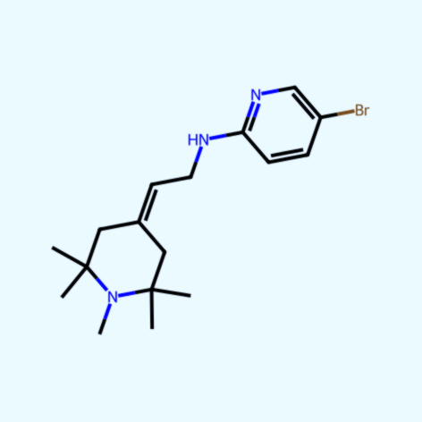 CN1C(C)(C)CC(=CCNc2ccc(Br)cn2)CC1(C)C